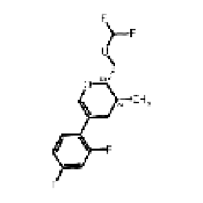 C[C@H]1CC(c2ccc(F)cc2F)=CO[C@@H]1COC(F)F